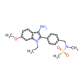 CCn1c(-c2ccc(CN(C)S(C)(=O)=O)cc2)c(N)c2ccc(OC)cc21